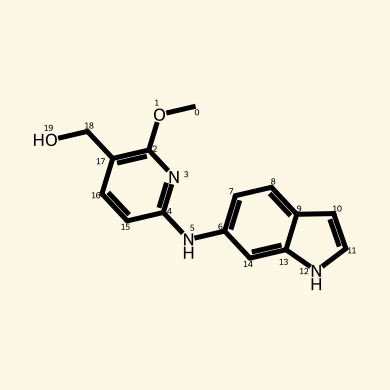 COc1nc(Nc2ccc3cc[nH]c3c2)ccc1CO